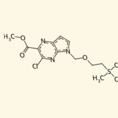 COC(=O)c1nc2ccn(COCCS(C)(C)C)c2nc1Cl